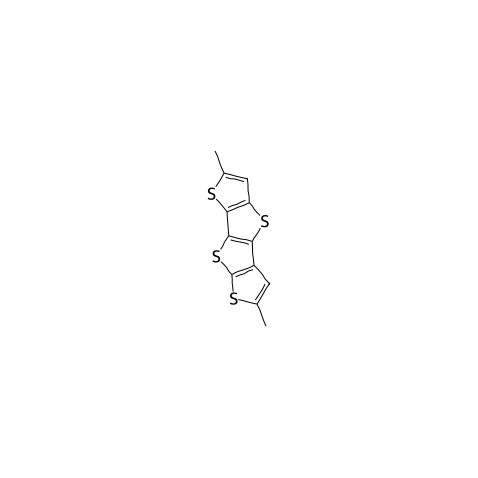 Cc1cc2c(s1)sc1c3sc(C)cc3sc21